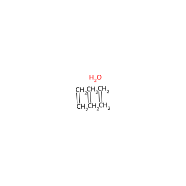 C=C.C=C.C=C.O